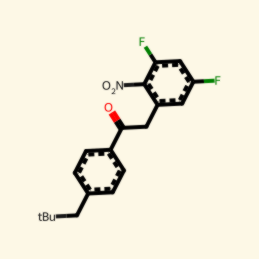 CC(C)(C)Cc1ccc(C(=O)Cc2cc(F)cc(F)c2[N+](=O)[O-])cc1